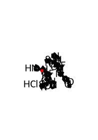 CC(C)(C)OC(=O)N1CCC(c2cnn(-c3cc(F)c4c(c3)C(=O)N(C(C(=O)Nc3nccs3)c3ncn5c3CCC5)C4)c2)CC1.Cl.O=C(Nc1nccs1)C(c1ncn2c1CCC2)N1Cc2c(F)cc(-n3cc(C4CCNCC4)cn3)cc2C1=O